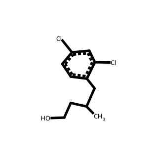 CC(CCO)Cc1ccc(Cl)cc1Cl